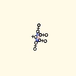 CC(C)(C1=CCC2C(=C1)c1cc(C(C)(C)C3=CC=CCC3)cc3c1N2C1CC(C(C)(C)C)C=C2C1B3c1cc(C(C)(C)C3C=CC=CC3)cc3c4c(n2c13)C=CC(C(C)(C)C1=CCCCC1)C4)c1ccccc1